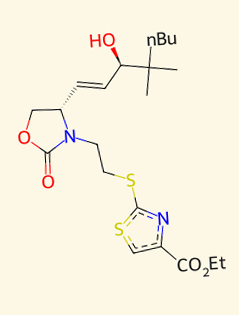 CCCCC(C)(C)[C@H](O)C=C[C@H]1COC(=O)N1CCSc1nc(C(=O)OCC)cs1